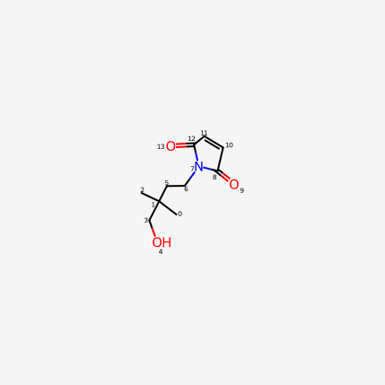 CC(C)(CO)CCN1C(=O)C=CC1=O